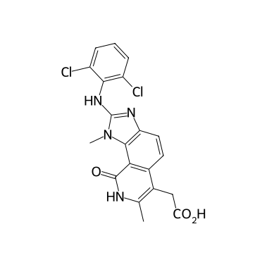 Cc1[nH]c(=O)c2c(ccc3nc(Nc4c(Cl)cccc4Cl)n(C)c32)c1CC(=O)O